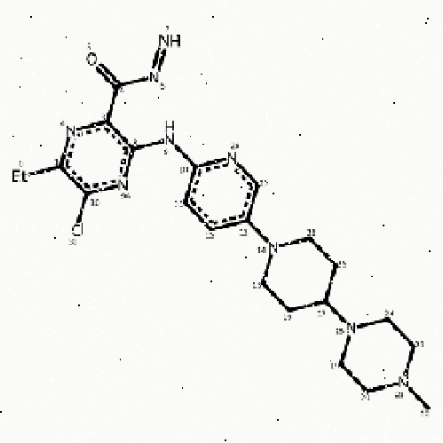 CCc1nc(C(=O)N=N)c(Nc2ccc(N3CCC(N4CCN(C)CC4)CC3)cn2)nc1Cl